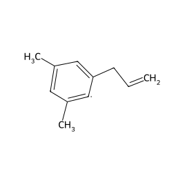 C=CCc1[c]c(C)cc(C)c1